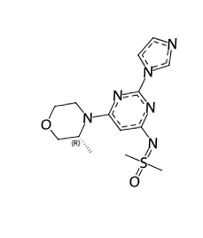 C[C@@H]1COCCN1c1cc(N=S(C)(C)=O)nc(-n2ccnc2)n1